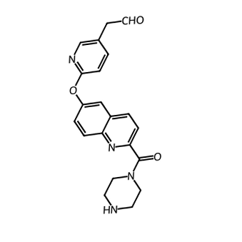 O=CCc1ccc(Oc2ccc3nc(C(=O)N4CCNCC4)ccc3c2)nc1